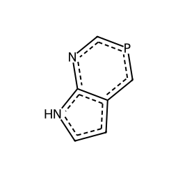 c1cc2cpcnc2[nH]1